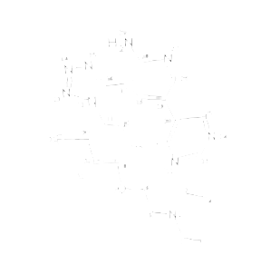 CCN(CC)CCOc1ccc(-n2nnnc2-c2cc(-c3cncnc3)cnc2N)c(F)c1C